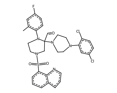 Cc1cc(F)ccc1N1CCN(S(=O)(=O)c2cccc3cccnc23)CC1(C=O)N1CCN(c2cc(Cl)ccc2Cl)CC1